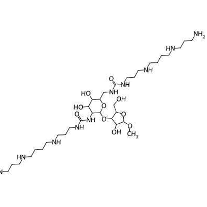 COC1OC(CO)C(OC2OC(CNC(=O)NCCCNCCCCNCCCN)C(O)C(O)C2NC(=O)NCCCNCCCCNCCCN)C1O